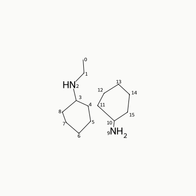 CCNC1CCCCC1.NC1CCCCC1